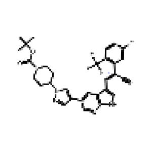 CC(C)(C)OC(=O)N1CCC(n2cc(-c3cnc4[nH]cc(/C=C(\C#N)c5cc(Cl)ccc5C(F)(F)F)c4c3)cn2)CC1